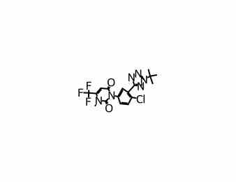 Cn1c(C(F)(F)F)cc(=O)n(-c2ccc(Cl)c(-c3nnn(C(C)(C)C)n3)c2)c1=O